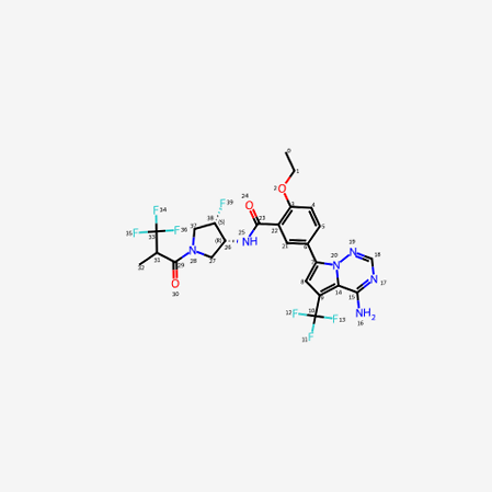 CCOc1ccc(-c2cc(C(F)(F)F)c3c(N)ncnn23)cc1C(=O)N[C@@H]1CN(C(=O)C(C)C(F)(F)F)C[C@@H]1F